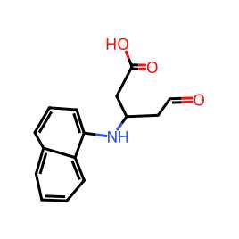 O=CCC(CC(=O)O)Nc1cccc2ccccc12